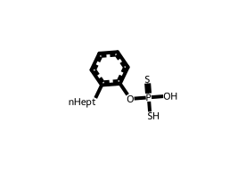 CCCCCCCc1ccccc1OP(O)(=S)S